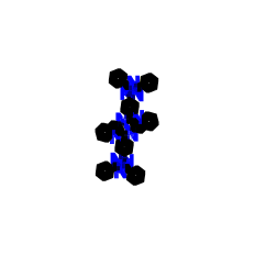 c1ccc(-c2nc(-c3ccccc3)nc(-c3ccc(/C4=N/c5cc6ccccc6nc5/C(c5ccc(-c6nc(-c7ccccc7)nc(-c7ccccc7)n6)cc5)=N\c5cc6ccccc6nc54)cc3)n2)cc1